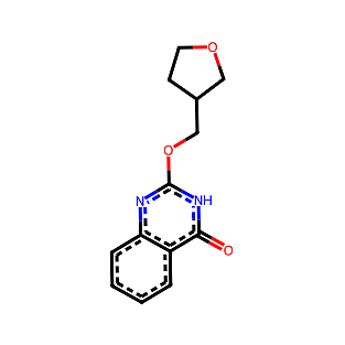 O=c1[nH]c(OCC2CCOC2)nc2ccccc12